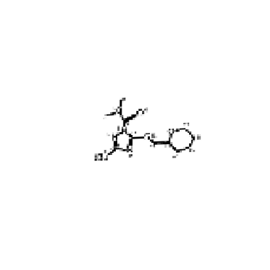 CN(C)C(=O)n1nc(C(C)(C)C)nc1SCC1CCCCO1